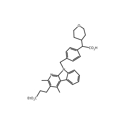 CCOC(=O)CCc1c(C)nc2c(c1C)c1ccccc1n2Cc1ccc(C(C(=O)O)C2CCOCC2)cc1